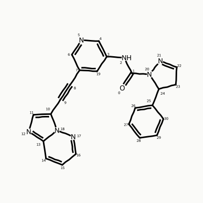 O=C(Nc1cncc(C#Cc2cnc3cccnn23)c1)N1N=CCC1c1ccccc1